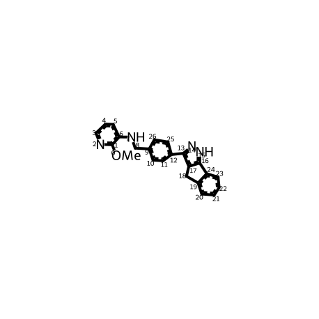 COc1ncccc1NCc1ccc(-c2n[nH]c3c2Cc2ccccc2-3)cc1